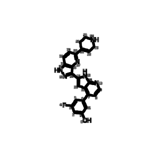 Oc1cc(F)cc(-c2ccnc3[nH]c(-c4n[nH]c5ccc(C6=CCNCC6)nc45)cc23)c1